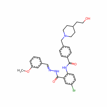 COc1cccc(C=NNC(=O)c2cc(Br)ccc2NC(=O)c2ccc(CN3CCC(CCO)CC3)cc2)c1